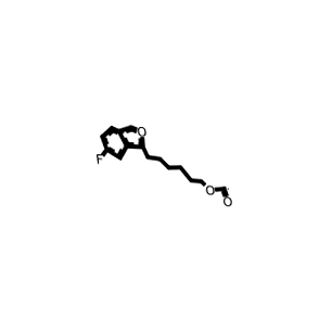 O=[C]OCCCCCCc1occ2ccc(F)cc12